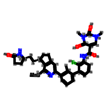 COc1nc(-c2cccc(-c3cccc(NC(=O)c4cn(C)c(=O)n(C)c4=O)c3F)c2C)cc2c1[C@H](CC[C@@H]1CCC(=O)N1)CC2